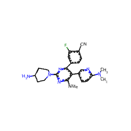 CNc1nc(N2CCC(N)CC2)nc(-c2ccc(C#N)c(F)c2)c1-c1ccc(N(C)C)nc1